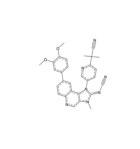 COc1ccc(-c2ccc3ncc4c(c3c2)n(-c2ccc(C(C)(C)C#N)nc2)/c(=N\C#N)n4C)cc1OC